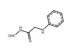 O=CNC(=O)CNc1ccccc1